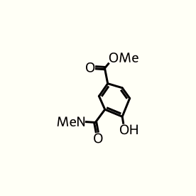 CNC(=O)c1cc(C(=O)OC)ccc1O